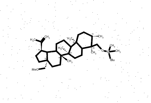 C=C(C)[C@@H]1CC[C@]2(COC)CC[C@]3(C)C(CCC4[C@@]5(C)CC[C@H](C)[C@@](C)(CO[Si](C)(C)C(C)(C)C)C5CC[C@]43C)C12